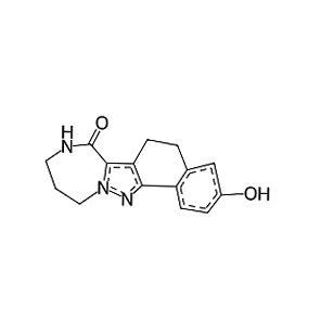 O=C1NCCCn2nc3c(c21)CCc1cc(O)ccc1-3